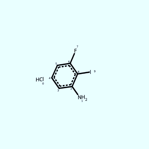 Cl.Nc1cccc(F)c1I